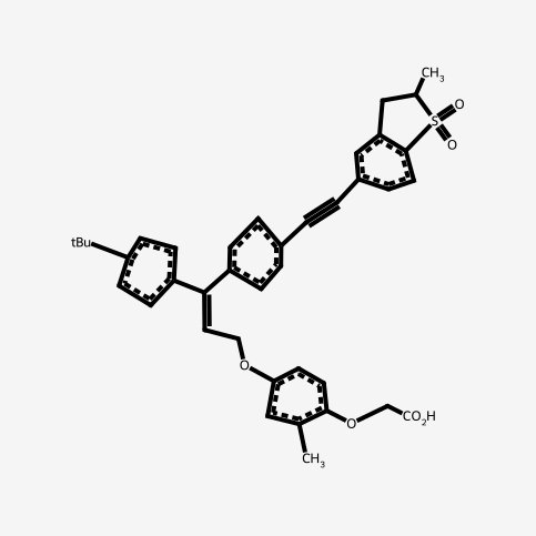 Cc1cc(OC/C=C(\c2ccc(C#Cc3ccc4c(c3)CC(C)S4(=O)=O)cc2)c2ccc(C(C)(C)C)cc2)ccc1OCC(=O)O